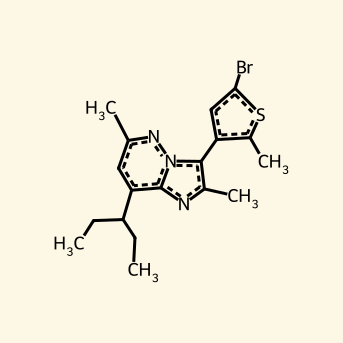 CCC(CC)c1cc(C)nn2c(-c3cc(Br)sc3C)c(C)nc12